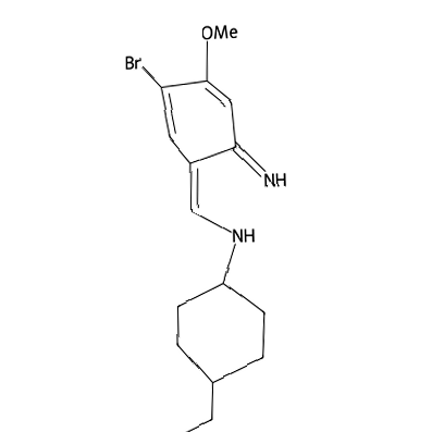 COC1=CC(=N)/C(=C\NC2CCC(CO)CC2)C=C1Br